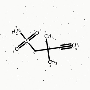 C#CC(C)(C)CS(N)(=O)=O